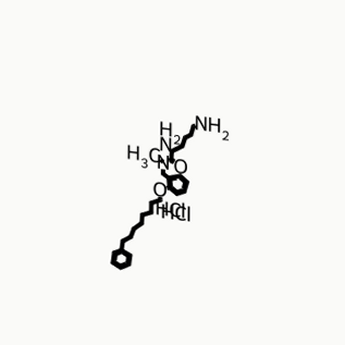 CN(Cc1ccccc1OCCCCCCCCc1ccccc1)C(=O)[C@H](N)CCCCN.Cl.Cl